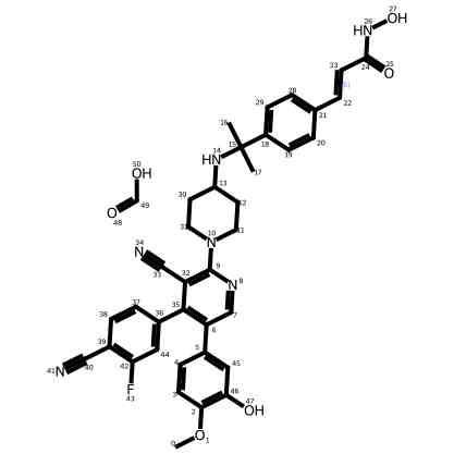 COc1ccc(-c2cnc(N3CCC(NC(C)(C)c4ccc(/C=C/C(=O)NO)cc4)CC3)c(C#N)c2-c2ccc(C#N)c(F)c2)cc1O.O=CO